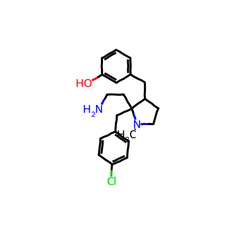 CN1CCC(Cc2cccc(O)c2)C1(CCN)Cc1ccc(Cl)cc1